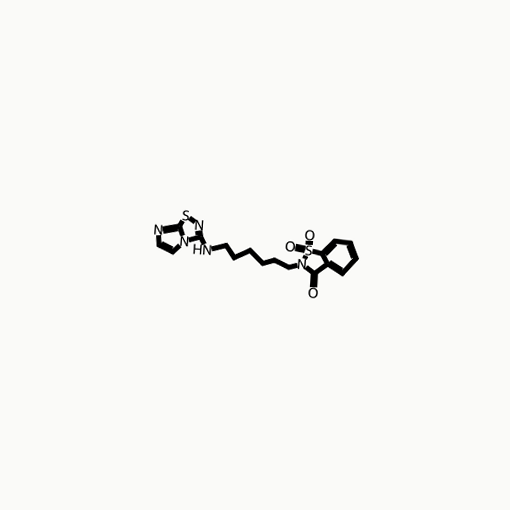 O=C1c2ccccc2S(=O)(=O)N1CCCCCCNc1nsc2nccn12